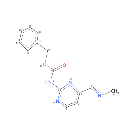 CN=Cc1ccnc(NC(=O)OCc2ccccc2)n1